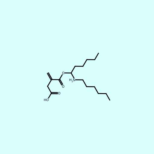 C=C(CC(=O)O)C(=O)OC(CCCCC)[SiH2]CCCCCC